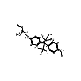 CCC(O)COc1ccc(C(c2ccc(OC)cc2)(C(F)(F)F)C(F)(F)F)cc1